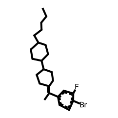 CCCCCC1CCC(C2CCC(=C(C)c3ccc(Br)c(F)c3)CC2)CC1